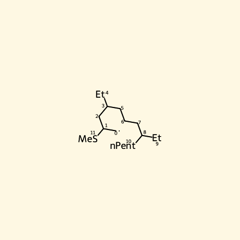 [CH2]C(CC(CC)CCCC(CC)CCCCC)SC